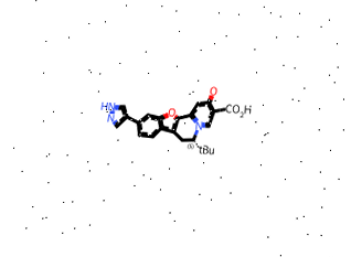 CC(C)(C)[C@@H]1Cc2c(oc3cc(-c4cn[nH]c4)ccc23)-c2cc(=O)c(C(=O)O)cn21